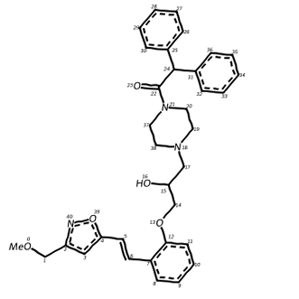 COCc1cc(C=Cc2ccccc2OCC(O)CN2CCN(C(=O)C(c3ccccc3)c3ccccc3)CC2)on1